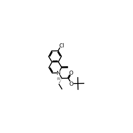 C=C1c2cc(Cl)ccc2C=CN1[C@@H](CC)C(=O)OC(C)(C)C